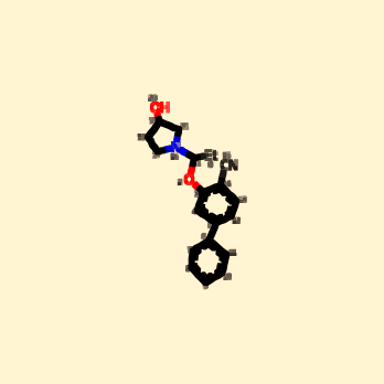 CCC(Oc1cc(-c2ccccc2)ccc1C#N)N1CCC(O)C1